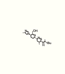 Cc1cn(-c2ccc(-c3cc(C)c(N[C@@H](C)C(C)(C)C)nn3)nc2CO)cn1